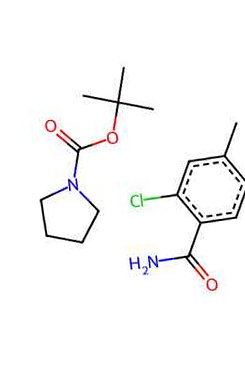 CC(C)(C)OC(=O)N1CCCC1.Cc1ccc(C(N)=O)c(Cl)c1